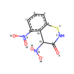 O=C1NSc2cccc([N+](=O)[O-])c2C1[N+](=O)[O-]